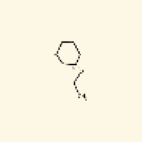 CCO[C@@H]1C[CH]CCC1